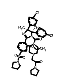 CCOc1cc(S(=O)(=O)N2CCCC2)ccc1C1=N[C@@](C)(c2ccc(Cl)cc2)[C@@](C)(c2ccc(Cl)cc2)N1C(=O)N1CCN(CC(=O)N2CCCC2)CC1